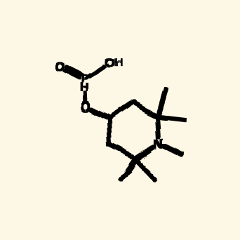 CN1C(C)(C)CC(O[PH](=O)O)CC1(C)C